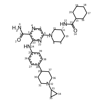 NC(=O)c1ncc(N2CCC[C@@H](NC(=O)C3CCCCC3)C2)nc1Nc1ccc(C2CCN(C3CC3)CC2)cc1